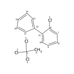 CC(Cl)(Cl)Cl.Clc1ccccc1-c1ccccc1